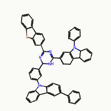 C1=CC2C3=C(C=C(C4=NC(c5ccc6c(c5)sc5ccccc56)=NC(c5cccc(-n6c7ccccc7c7cc(-c8ccccc8)ccc76)c5)N4)CC3)N(c3ccccc3)C2C=C1